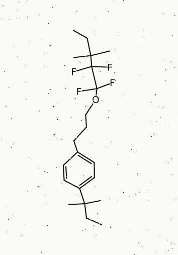 CCC(C)(C)c1ccc(CCCOC(F)(F)C(F)(F)C(C)(C)CC)cc1